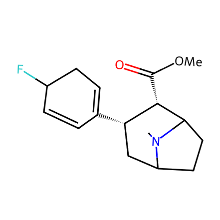 COC(=O)[C@@H]1C2CCC(C[C@@H]1C1=CCC(F)C=C1)N2C